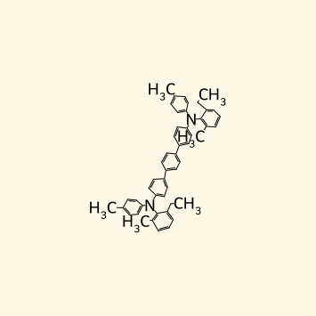 CCc1cccc(C)c1N(c1ccc(C)cc1)c1ccc(-c2ccc(-c3ccc(N(c4ccc(C)cc4)c4c(C)cccc4CC)cc3)cc2)cc1